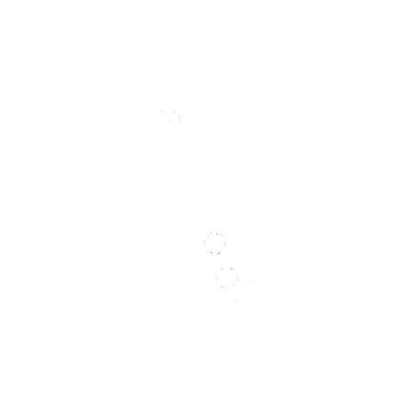 C=CCC1CCC2CC(C3CCC(c4ccc(-c5ccc(F)c(F)c5)cc4)CC3)CC2CC1